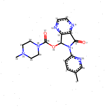 Cc1ccc(N2C(=O)c3nccnc3C2OC(=O)N2CCN(C)CC2)nc1